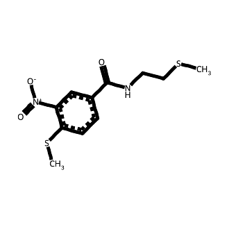 CSCCNC(=O)c1ccc(SC)c([N+](=O)[O-])c1